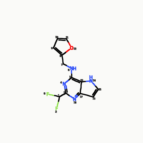 FC(F)c1nc(NCc2ccco2)c2[nH]ccc2n1